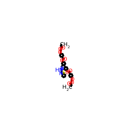 C=CC(=O)OCOc1ccc(C(=O)Oc2ccc(-c3ccc(OC(=O)c4ccc(OCOC(=O)C=C)cc4)cc3/C=N/Nc3nc4ccccc4s3)cc2)cc1